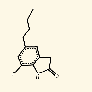 CCCCc1cc(F)c2c(c1)CC(=O)N2